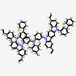 C=Cc1ccc2c(c1)c1cc3c(cc1n2-c1cccc(B(c2cccc(-n4c5ccc(C=C)cc5c5ccc6c7cc(C=C)ccc7n(-c7cccc8c7sc7ccccc78)c6c54)c2)c2c(C)cc(C)cc2C)c1)c1cc(C=C)ccc1n3-c1cccc2c1sc1ccccc12